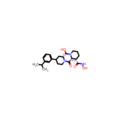 CC(C)c1cccc(C2CCN(C(=O)[C@@H]3[C@@H](C(=O)NO)CCCN3C(=O)O)CC2)c1